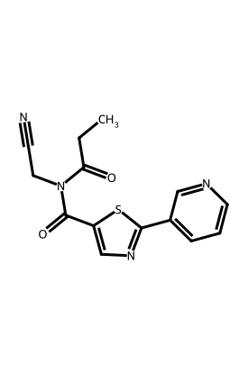 CCC(=O)N(CC#N)C(=O)c1cnc(-c2cccnc2)s1